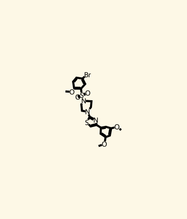 COc1cc(OC)cc(-c2csc(N3CCN(S(=O)(=O)c4cc(Br)ccc4OC)CC3)n2)c1